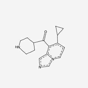 O=C(c1c(C2CC2)ccn2cncc12)C1CCNCC1